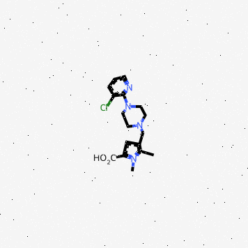 Cc1c(CN2CCN(c3ncccc3Cl)CC2)cc(C(=O)O)n1C